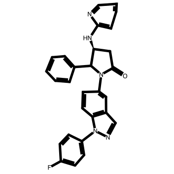 O=C1C[C@H](Nc2ccccn2)C(c2ccccc2)N1c1ccc2c(cnn2-c2ccc(F)cc2)c1